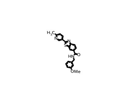 COc1cccc(CNC(=O)c2ccc3nc(-c4ccc(C)nc4)sc3c2)c1